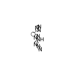 CN1CCN(c2cc(Nc3ncc4c(n3)CCCC=C4c3cnc4nccn4c3)ccn2)CC1